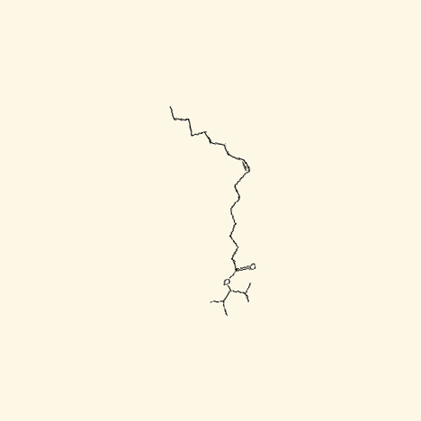 CCCCCCCC/C=C\CCCCCCCC(=O)OC(C(C)C)C(C)C